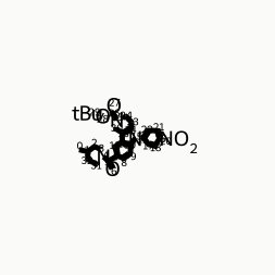 CC1CCN(C(=O)c2ccc3c(c2)c2c(n3-c3ccc([N+](=O)[O-])cc3)CCN(C(=O)OC(C)(C)C)C2)CC1